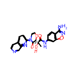 CC(O)(C(=O)Nc1ccc2c(N)noc2c1)[C@H]1OCCN(c2ccc3ccncc3n2)C1=O